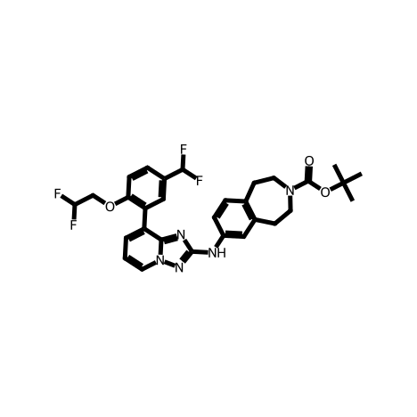 CC(C)(C)OC(=O)N1CCc2ccc(Nc3nc4c(-c5cc(C(F)F)ccc5OCC(F)F)cccn4n3)cc2CC1